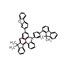 CC1(C)c2ccccc2-c2c(-c3ccccc3N(c3ccc(-c4cccc5c4C(C)(C)c4ccccc4-5)cc3)c3cccc(-c4ccc5c(c4)oc4ccccc45)c3)cccc21